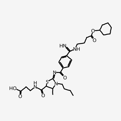 CCCCN1C(=NC(=O)c2ccc(C(=N)NCCCC(=O)OC3CCCCC3)cc2)SC(C(=O)NCCC(=O)O)C1C